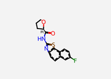 O=C(Nc1nc2ccc3cc(F)ccc3c2s1)[C@H]1CCCO1